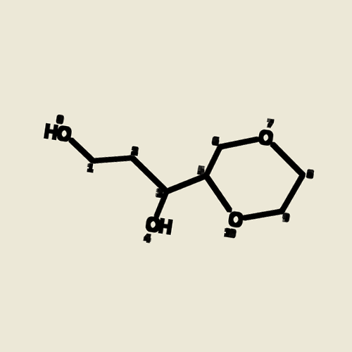 OCCC(O)C1COCCO1